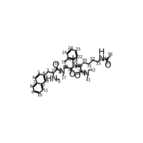 CNC(Cc1ccc2ccccc2c1)C(=O)N(C)[C@H](Cc1ccccc1)C(=O)N[C@@H](CCCCNC(C)=O)C(=O)N(C)C